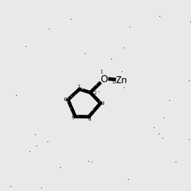 [Zn][O]C1CCCCC1